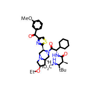 CCO[C@@H]1C[C@@H]2CN(C(=O)[C@@H](NC(=O)[C@@H](C)C(NC(=O)O)C(C)(C)C)C3CCCCC3)[C@H](c3nc(C(=O)c4cccc(OC)c4)cs3)CN2C1